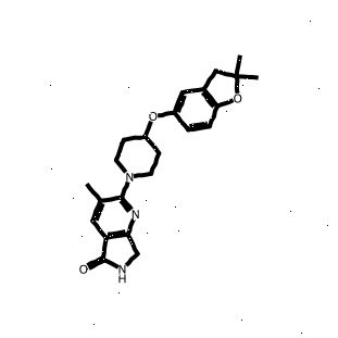 Cc1cc2c(nc1N1CCC(Oc3ccc4c(c3)CC(C)(C)O4)CC1)CNC2=O